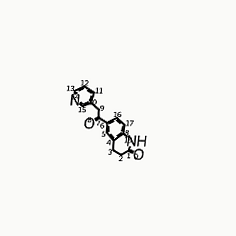 O=C1CCc2cc(C(=O)Cc3cccnc3)ccc2N1